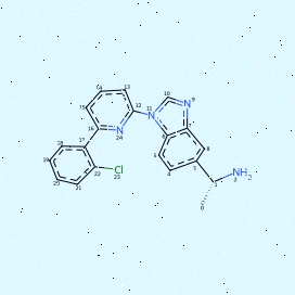 C[C@@H](N)c1ccc2c(c1)ncn2-c1cccc(-c2ccccc2Cl)n1